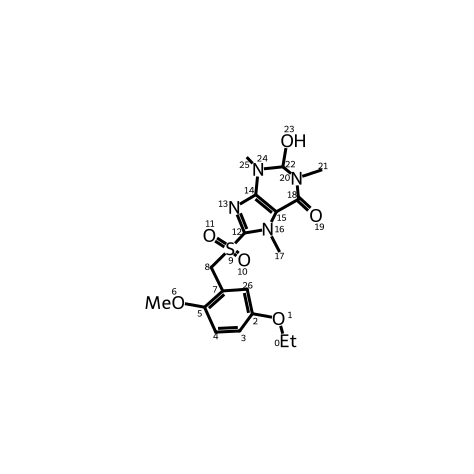 CCOc1ccc(OC)c(CS(=O)(=O)c2nc3c(n2C)C(=O)N(C)C(O)N3C)c1